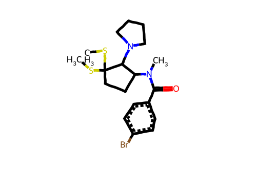 CSC1(SC)CCC(N(C)C(=O)c2ccc(Br)cc2)C1N1CCCC1